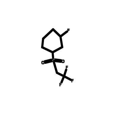 O=S(=O)(CC(F)(F)F)C1CCCC(F)C1